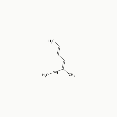 CC=CC=[C](C)[Mg][CH3]